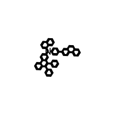 c1ccc(-c2c(-c3ccccc3)c3cc(N(c4ccc(-c5ccc6c(ccc7ccccc76)c5)cc4)c4cccc5ccccc45)ccc3c3ccccc23)cc1